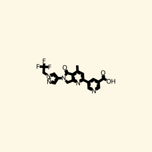 Cc1cc(-c2cncc(C(=O)O)c2)nc2c1C(=O)N(c1cnn(CC(F)(F)F)c1)C2